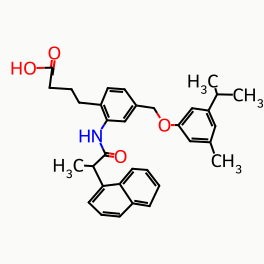 Cc1cc(OCc2ccc(CCCC(=O)O)c(NC(=O)C(C)c3cccc4ccccc34)c2)cc(C(C)C)c1